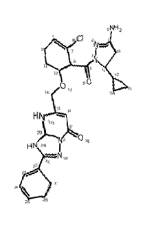 NC1=NN(C(=O)C2C(Cl)=CCCC2OCC2=CC(=O)N3N=C(C4=CC=CCC4)NC3N2)C(C2CC2)C1